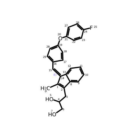 CC1=C(CC(O)CO)c2ccccc2/C1=C\c1ccc(Oc2ccc(F)cc2)cc1